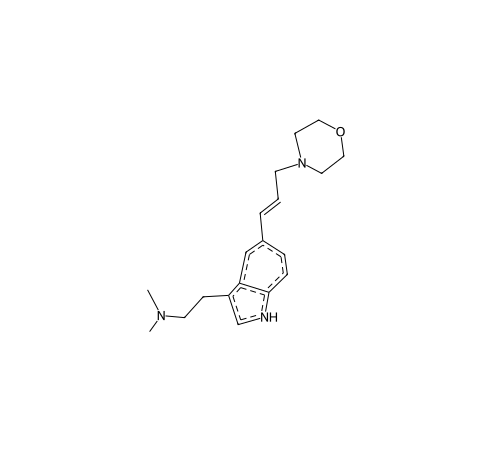 CN(C)CCc1c[nH]c2ccc(C=CCN3CCOCC3)cc12